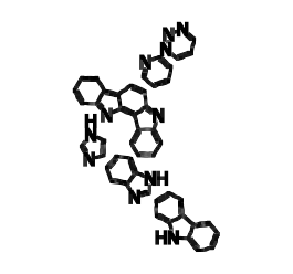 c1c[nH]cn1.c1ccc2[nH]cnc2c1.c1ccc2c(c1)N=c1ccc3c(c1-2)N=c1ccccc1=3.c1ccc2c(c1)[nH]c1ccccc12.c1ccncc1.c1cnnnc1